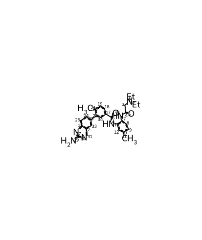 CCN(CC)CC(=O)Nc1ccc(C)cc1NC(=O)c1ccc(C)c(-c2ccc3nc(N)ncc3c2)c1